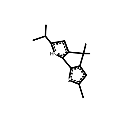 Cc1cc2c(s1)-c1[nH]c(C(C)C)cc1C2(C)C